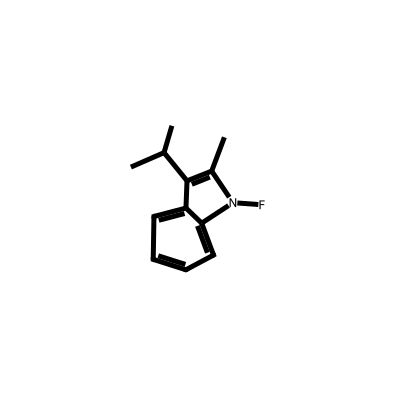 Cc1c(C(C)C)c2ccccc2n1F